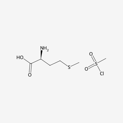 CS(=O)(=O)Cl.CSCC[C@H](N)C(=O)O